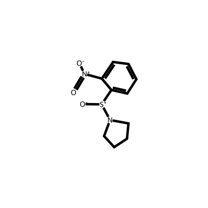 O=[N+]([O-])c1ccccc1[S+]([O-])N1CCCC1